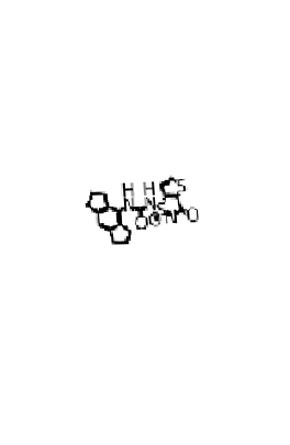 O=C(Nc1c2c(cc3c1CCC3)CCC2)NS1(=O)=NC(=O)c2sccc21